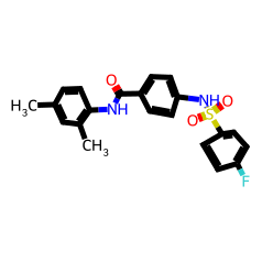 Cc1ccc(NC(=O)c2ccc(NS(=O)(=O)c3ccc(F)cc3)cc2)c(C)c1